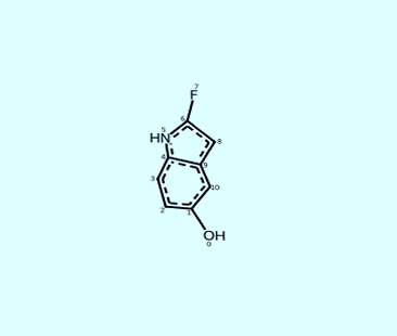 Oc1ccc2[nH]c(F)cc2c1